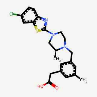 Cc1cc(CC(=O)O)cc(CN2CCN(c3nc4ccc(Cl)cc4s3)C[C@@H]2C)c1